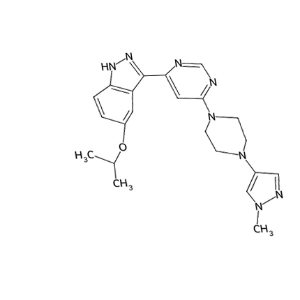 CC(C)Oc1ccc2[nH]nc(-c3cc(N4CCN(c5cnn(C)c5)CC4)ncn3)c2c1